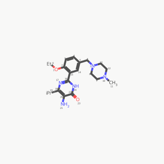 CCOc1ccc(CN2CCN(C)CC2)cc1-c1nc(C(C)C)c(N)c(=O)[nH]1